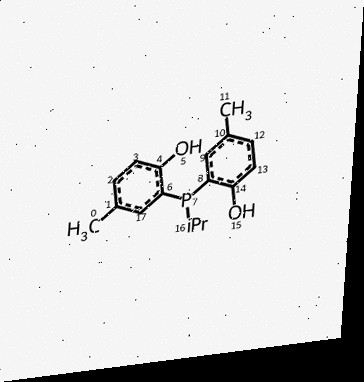 Cc1ccc(O)c(P(c2cc(C)ccc2O)C(C)C)c1